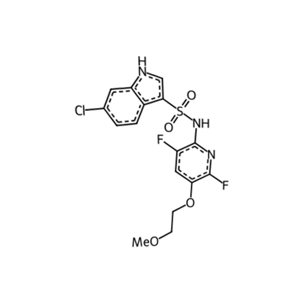 COCCOc1cc(F)c(NS(=O)(=O)c2c[nH]c3cc(Cl)ccc23)nc1F